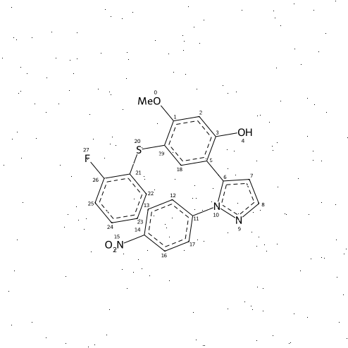 COc1cc(O)c(-c2ccnn2-c2ccc([N+](=O)[O-])cc2)cc1Sc1ccccc1F